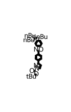 CCC[CH2][Sn]([CH2]CCC)([CH2]CCC)[c]1ccc2oc(-c3ccc(-c4ccn(C(=O)OC(C)(C)C)n4)cc3)nc2c1